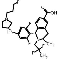 C[C@@H]1Cc2cc(C(=O)O)ccc2[C@@H](c2c(F)cc(N[C@H]3CCN(CCCF)C3)cc2F)N1CC(C)(F)F